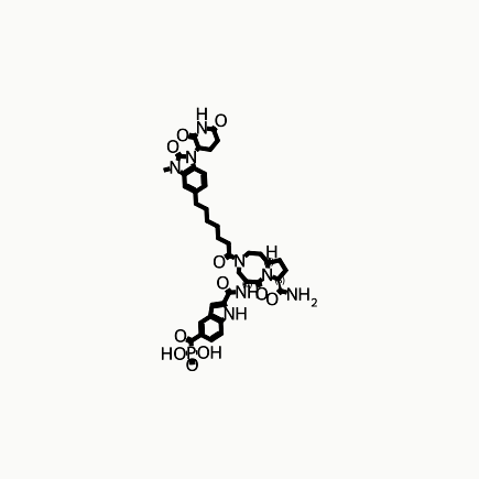 Cn1c(=O)n(C2CCC(=O)NC2=O)c2ccc(CCCCCCC(=O)N3CC[C@H]4CC[C@@H](C(N)=O)N4C(=O)[C@@H](NC(=O)c4cc5cc(C(=O)P(=O)(O)O)ccc5[nH]4)C3)cc21